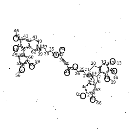 COc1ccc(CC2c3c(cc(OC)c(OC)c3OC)CC[N+]2(C)CCCOC(=O)C#CC(=O)OCCC[N+]2(C)CCc3cc(OC)c(OC)c(-c4ccc(OC)c(OC)c4)c3C2)cc1OC